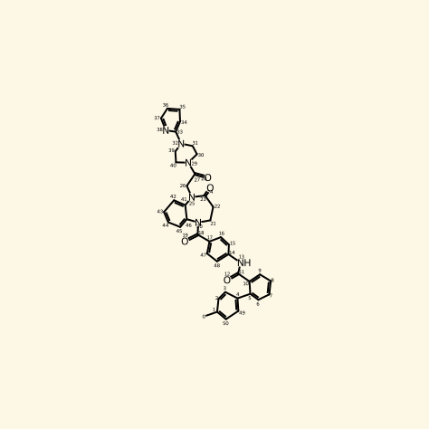 Cc1ccc(-c2ccccc2C(=O)Nc2ccc(C(=O)N3CCC(=O)N(CC(=O)N4CCN(c5ccccn5)CC4)c4ccccc43)cc2)cc1